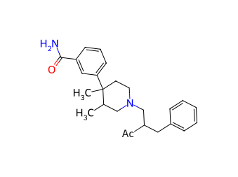 CC(=O)C(Cc1ccccc1)CN1CCC(C)(c2cccc(C(N)=O)c2)C(C)C1